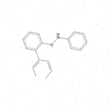 C/C=C\C(=C/C)c1ccccc1ONc1ccccc1